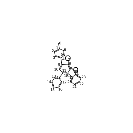 Cc1ccc2c(c1)oc1c2cc(-c2ccccc2)c2c3ccccc3oc12